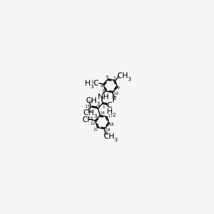 C=C(Nc1c(C)cc(C)cc1F)C(=C(C)C)c1ccc(C)cc1Cl